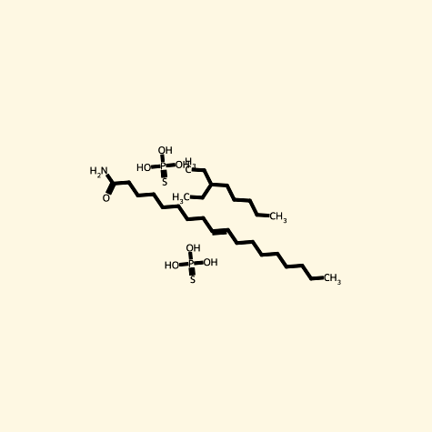 CCCCCC(CC)CC.CCCCCCCCC=CCCCCCCCC(N)=O.OP(O)(O)=S.OP(O)(O)=S